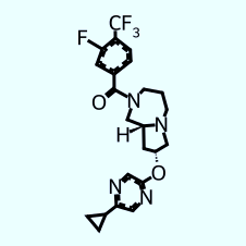 O=C(c1ccc(C(F)(F)F)c(F)c1)N1CCCN2C[C@H](Oc3cnc(C4CC4)cn3)C[C@@H]2C1